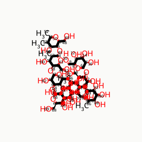 CC1C(O)[C@H](O[C@@H]2OC(CO)[C@H](O)C(O)[C@@H]2O)[C@H](CO)O[C@H]1O[C@@H]1C(O)[C@H](O)C(CO)O[C@@H]1OCC1O[C@@H](O[C@@H]2C(CO)O[C@@H](O[C@@H]3C(CO)O[C@@H](C)[C@@H](C)C3O)C(C)[C@H]2O)[C@H](O)C(O[C@H]2O[C@H](CO)[C@@H](O)C(O)C2O[C@@H]2OC(CO)[C@@H](O[C@@H]3OC(C)[C@H](O)C(O)[C@@H]3O)C(O)[C@@H]2C)[C@@H]1O